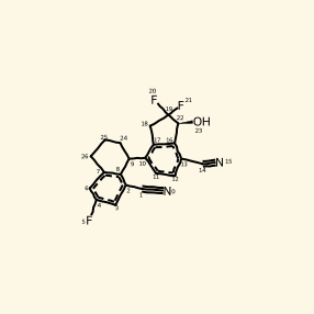 N#Cc1cc(F)cc2c1C(c1ccc(C#N)c3c1CC(F)(F)[C@H]3O)CCC2